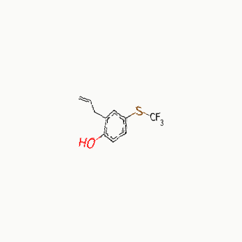 C=CCc1cc(SC(F)(F)F)ccc1O